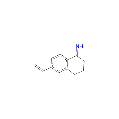 C=Cc1ccc2c(c1)CCCC2=N